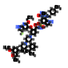 CCOc1nc2[nH]cc(F)c2cc1Oc1cc(N2CCC(N3CCC(Cc4ccc(OC)c5oc(C)cc45)C[C@H]3c3ccccc3C(C)C)CC2)ccc1C(=O)NS(=O)(=O)c1cc([NH+](C)[O-])c(NC[C@H]2CC[C@@H](C)CC2)c2[nH]ccc12